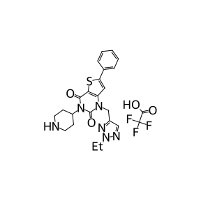 CCn1ncc(Cn2c(=O)n(C3CCNCC3)c(=O)c3sc(-c4ccccc4)cc32)n1.O=C(O)C(F)(F)F